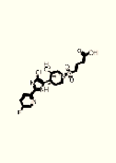 C[C@H]1CN(S(=O)(=O)CCCC(=O)O)CC[C@H]1c1[nH]c(-c2ccc(F)cn2)nc1Cl